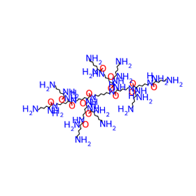 NCCCCC(N)C(=O)NCCCCC(NC(=O)C(N)CCCCN)C(=O)NCCCCC(NC(=O)C(CCCCNC(=O)C(N)CCCCN)NC(=O)C(N)CCCCN)C(=O)NCCCCCCNC(=O)C(CCCCNC(=O)C(CCCCNC(=O)C(N)CCCCN)NC(=O)C(N)CCCCN)NC(=O)C(CCCCNC(=O)C(N)CCCCN)NC(=O)C(N)CCCCN